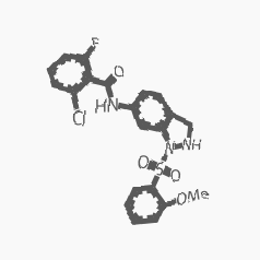 COc1ccccc1S(=O)(=O)N1NCc2ccc(NC(=O)c3c(F)cccc3Cl)cc21